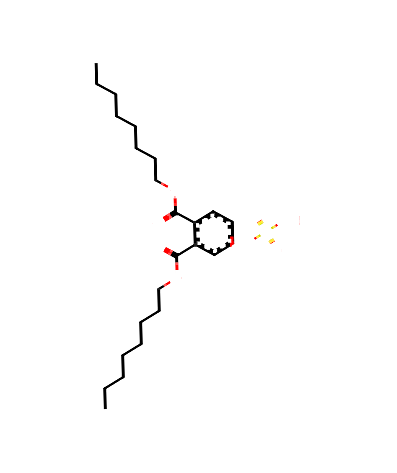 CCCCCCCCOC(=O)c1ccccc1C(=O)OCCCCCCCC.O=S(=O)(O)O